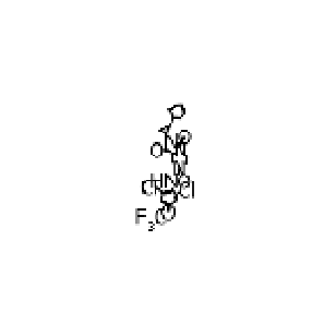 O=C(Nc1c(Cl)cc(OC(F)(F)F)cc1Cl)N1CCN2C(=O)N([C@@H]3C[C@H]3c3ccccc3)C(=O)C2C1